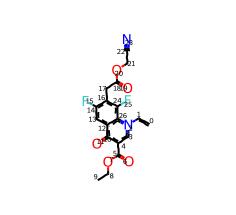 C=Cn1cc(C(=O)OCC)c(=O)c2cc(F)c(CC(=O)OCC#N)c(F)c21